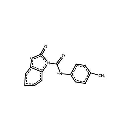 [CH2]c1ccc(NC(=O)n2c(=O)oc3ccccc32)cc1